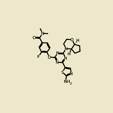 CN(C)C(=O)c1ccc(Oc2nc(-c3cnc(N)s3)nc(N3CCO[C@H]4CCC[C@@H]43)n2)c(F)c1